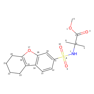 COC(=O)C(C)(C)NS(=O)(=O)c1ccc2c3c(oc2c1)CCCC3